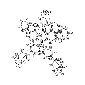 CC(C)(C)c1ccc(N2c3cc4c(cc3B3c5c(cc6c(oc7ccccc76)c52)-c2cc(C56CC7CC(CC(C7)C5)C6)cc5c6cc(C78CC9CC(CC(C9)C7)C8)ccc6n3c25)oc2ccccc24)c(-c2ccccc2)c1